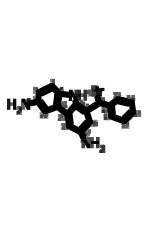 Nc1ccc2[nH]c3c(C(Br)c4ccccc4)cc(N)cc3c2c1